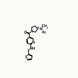 CC(=O)N(C)[C@H]1CCN(C(=O)c2ccc(NCc3cccs3)nc2)C1